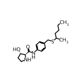 CCCCC(C)SCc1ccc(NC(=O)[C@H]2NCC[C@@H]2O)cc1